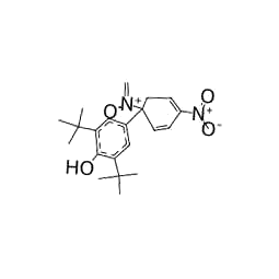 C=[N+]([O-])C1(c2cc(C(C)(C)C)c(O)c(C(C)(C)C)c2)C=CC([N+](=O)[O-])=CC1